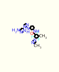 Cc1cn(-c2c(F)c(C)c(F)c(C(=O)Nc3cccc(Nc4nccn4-c4cc(N)ncn4)c3)c2F)cn1